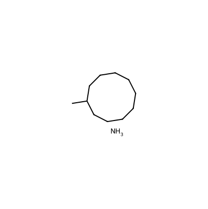 CC1CCCCCCCCC1.N